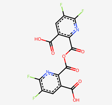 O=C(O)c1cc(F)c(F)nc1C(=O)OC(=O)c1nc(F)c(F)cc1C(=O)O